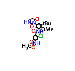 COc1c(NC(=O)c2ccc(NS(C)(=O)=O)cc2Cl)cc(N2C(=O)CCNC2=O)cc1C(C)(C)C